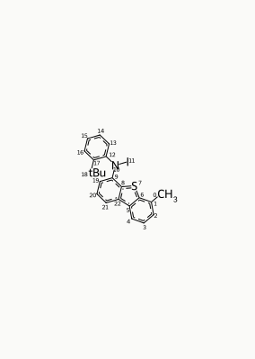 Cc1cccc2c1sc1c(N(I)c3ccccc3C(C)(C)C)cccc12